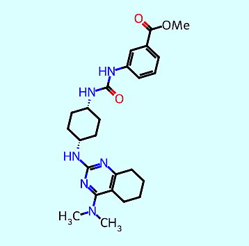 COC(=O)c1cccc(NC(=O)N[C@H]2CC[C@@H](Nc3nc4c(c(N(C)C)n3)CCCC4)CC2)c1